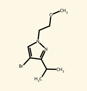 COCCn1cc(Br)c(C(C)C)n1